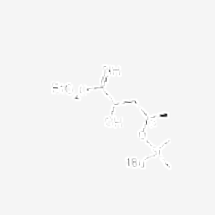 CCOC(=O)C(=N)C(O)C[C@@H](C)O[Si](C)(C)C(C)(C)C